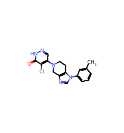 Cc1cccc(-n2cnc3c2CCN(c2cn[nH]c(=O)c2Cl)C3)c1